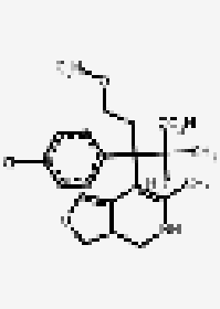 CC1=C(C(CCO[N+](=O)[O-])(c2ccc(Cl)cc2)C(C)(C)C(=O)O)C2=COCC2CN1